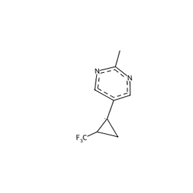 Cc1ncc([C]2CC2C(F)(F)F)cn1